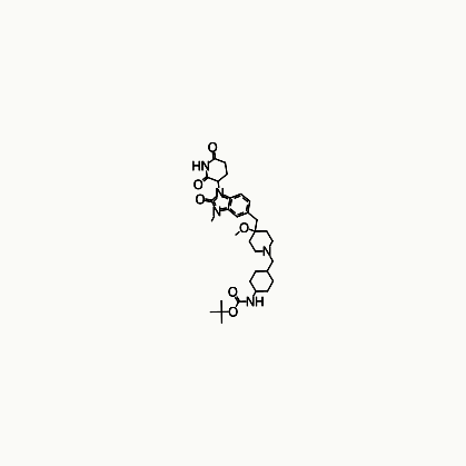 COC1(Cc2ccc3c(c2)n(C)c(=O)n3C2CCC(=O)NC2=O)CCN(CC2CCC(NC(=O)OC(C)(C)C)CC2)CC1